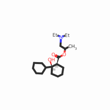 CCN(CC)CC(C)OC(=O)[C@H]1CCCC[C@]1(O)C1CCCCC1